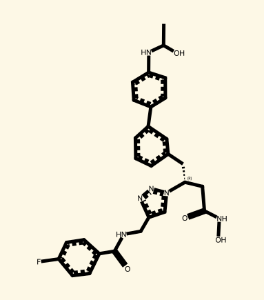 CC(O)Nc1ccc(-c2cccc(C[C@H](CC(=O)NO)n3cc(CNC(=O)c4ccc(F)cc4)nn3)c2)cc1